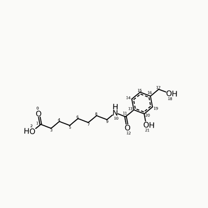 O=C(O)CCCCCCCNC(=O)c1ccc(CO)cc1O